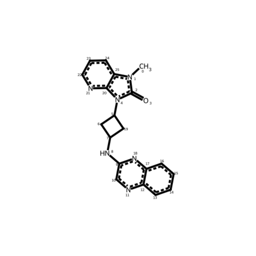 Cn1c(=O)n(C2CC(Nc3cnc4ccccc4n3)C2)c2ncccc21